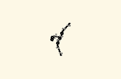 C=CC(=O)OCCCCOC(=O)/C=C/c1ccc(C(=O)Oc2ccc(OC(=O)c3ccc(/C=C/C(=O)OCCCCOC(=O)C=C)cc3)c(/C=N/Nc3nc4ccc5ccccc5c4s3)c2)cc1